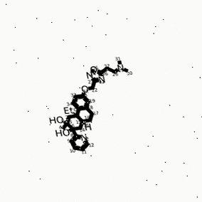 CC[C@@]12CC(C)(O)C(O)(c3ccccn3)C[C@H]1CCc1cc(OCc3noc(CCN(C)C)n3)ccc12